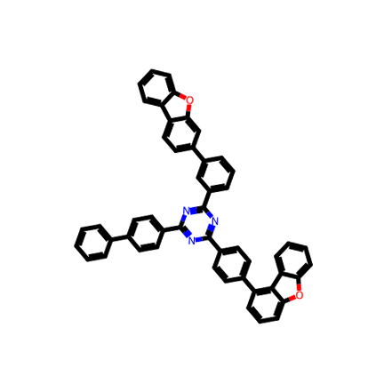 c1ccc(-c2ccc(-c3nc(-c4ccc(-c5cccc6oc7ccccc7c56)cc4)nc(-c4cccc(-c5ccc6c(c5)oc5ccccc56)c4)n3)cc2)cc1